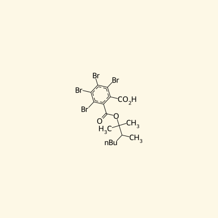 CCCCC(C)C(C)(C)OC(=O)c1c(Br)c(Br)c(Br)c(Br)c1C(=O)O